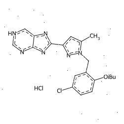 Cc1cc(-c2nc3c[nH]cnc-3n2)nn1Cc1cc(Cl)ccc1OCC(C)C.Cl